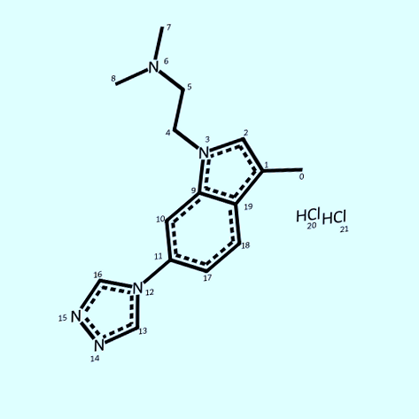 Cc1cn(CCN(C)C)c2cc(-n3cnnc3)ccc12.Cl.Cl